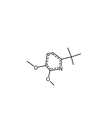 COc1ccc(C(C)(C)C)nc1OC